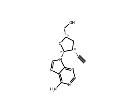 C#C[C@H]1C[C@@H](CO)O[C@H]1n1cnc2c(N)ncnc21